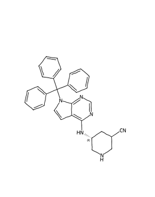 N#CC1CNC[C@H](Nc2ncnc3c2ccn3C(c2ccccc2)(c2ccccc2)c2ccccc2)C1